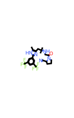 Cc1[nH]c(-c2cc(C(F)(F)F)cc(C(F)(F)F)c2)nc1CC(C)(C)NCC(=O)N1CCCC1C#N